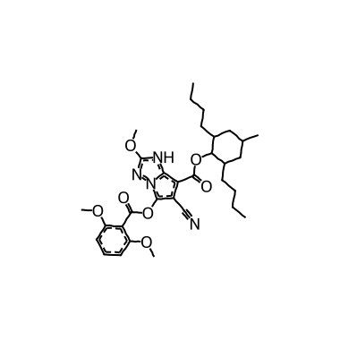 CCCCC1CC(C)CC(CCCC)C1OC(=O)c1c(C#N)c(OC(=O)c2c(OC)cccc2OC)n2nc(OC)[nH]c12